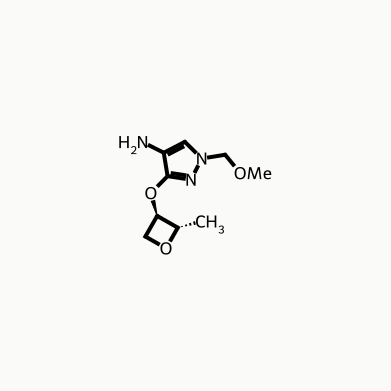 COCn1cc(N)c(O[C@@H]2CO[C@H]2C)n1